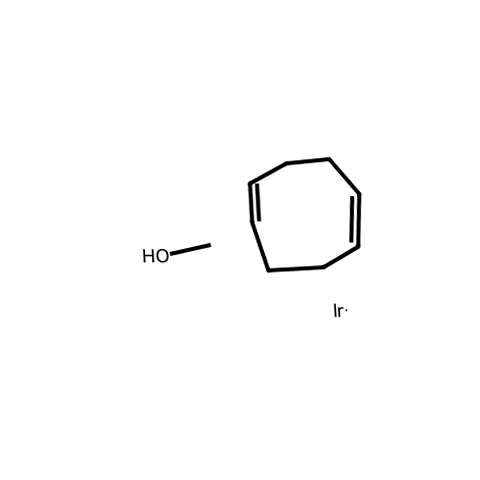 C1=C\CC/C=C\CC/1.CO.[Ir]